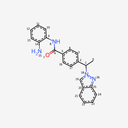 CC(c1ccc(C(=O)Nc2ccccc2N)cc1)n1cc2ccccc2n1